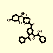 Cc1cc(Cl)ccc1N(C)c1ccc(C(=O)c2ccc(C(=O)c3ccccc3)c(C(=O)C(O)c3ccccc3)c2)nc1